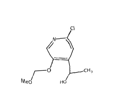 COCOc1cnc(Cl)cc1C(C)O